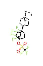 CC12CCC(C34CCC(OS(=O)(=O)C(F)(F)F)(CC3)C(F)(F)C4(F)F)(CC1)CC2